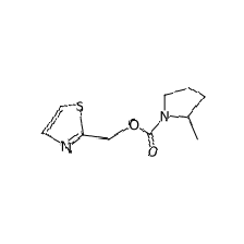 CC1CCCN1C(=O)OCc1nccs1